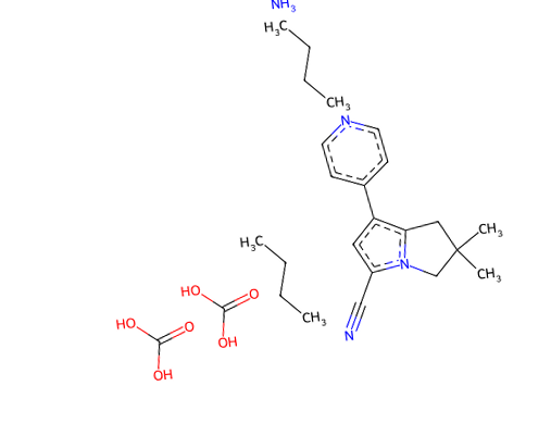 CC1(C)Cc2c(-c3ccncc3)cc(C#N)n2C1.CCCC.CCCC.N.O=C(O)O.O=C(O)O